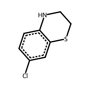 Clc1ccc2c(c1)SCCN2